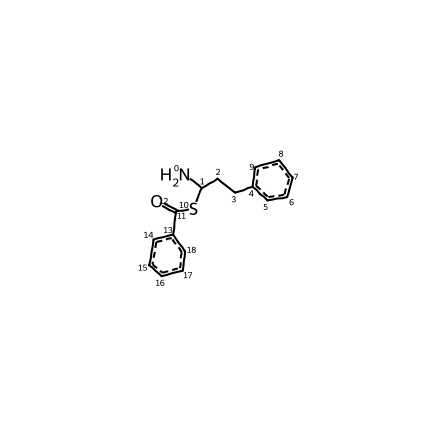 NC(CCc1ccccc1)SC(=O)c1ccccc1